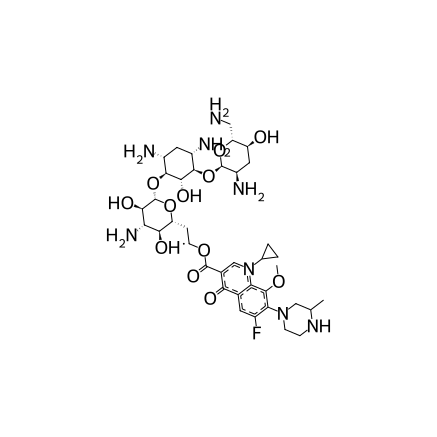 COc1c(N2CCNC(C)C2)c(F)cc2c(=O)c(C(=O)O[CH]C[C@H]3O[C@@H](O[C@@H]4[C@@H](O)[C@H](O[C@H]5O[C@H](CN)[C@@H](O)C[C@H]5N)[C@@H](N)C[C@H]4N)[C@H](O)[C@@H](N)[C@@H]3O)cn(C3CC3)c12